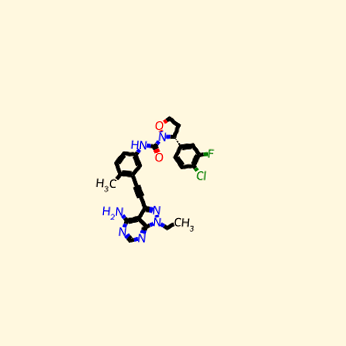 CCn1nc(C#Cc2cc(NC(=O)N3OCC[C@@H]3c3ccc(Cl)c(F)c3)ccc2C)c2c(N)ncnc21